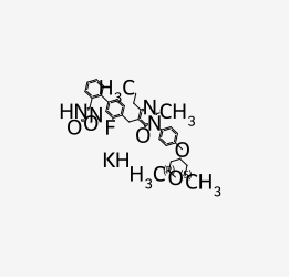 CCCc1nc(C)n(-c2ccc(OC3C[C@@H](C)O[C@@H](C)C3)cc2)c(=O)c1Cc1ccc(-c2ccccc2-c2noc(=O)[nH]2)cc1F.[KH]